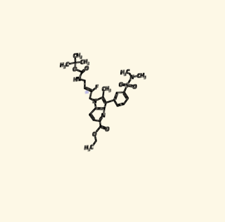 CCOC(=O)c1ccc2c(n1)c(-c1cccc(S(=O)(=O)N(C)C)c1)c(C)n2C/C(F)=C/CNC(=O)OC(C)(C)C